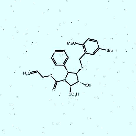 C=CCOC(=O)N1[C@H](C(=O)O)[C@@H](C(C)(C)C)[C@H](NCc2cc(C(C)(C)C)ccc2OC)[C@@H]1c1ccccc1